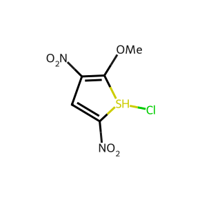 COC1=C([N+](=O)[O-])C=C([N+](=O)[O-])[SH]1Cl